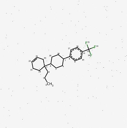 CCCC1(C2CCC(c3ccc(C(F)(F)F)cc3)CC2)CC=CCC1